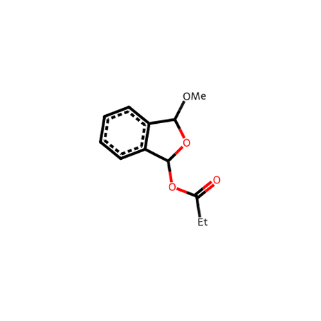 CCC(=O)OC1OC(OC)c2ccccc21